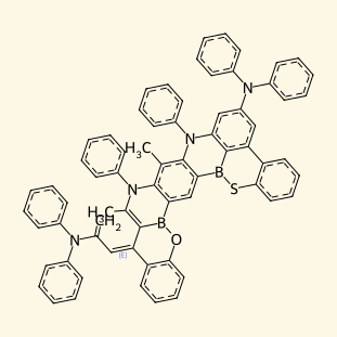 C=C(/C=C1\C2=C(C)N(c3ccccc3)c3c(cc4c(c3C)N(c3ccccc3)c3cc(N(c5ccccc5)c5ccccc5)cc5c3B4Sc3ccccc3-5)B2Oc2ccccc21)N(c1ccccc1)c1ccccc1